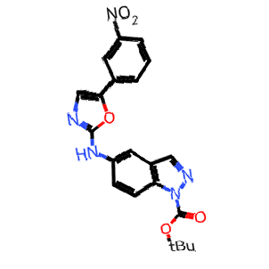 CC(C)(C)OC(=O)n1ncc2cc(Nc3ncc(-c4cccc([N+](=O)[O-])c4)o3)ccc21